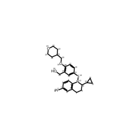 CC(C)c1ccc2c(c1)CCC(C1CC1)N2Sc1ccc(OCC2CCOCC2)c(CO)c1